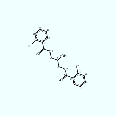 O=C(OCC(O)COC(=O)c1ccccc1I)c1ccccc1I